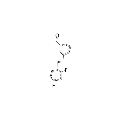 O=Cc1cccc(C=Cc2ccc(F)cc2F)c1